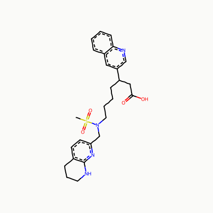 CS(=O)(=O)N(CCCCC(CC(=O)O)c1cnc2ccccc2c1)Cc1ccc2c(n1)NCCC2